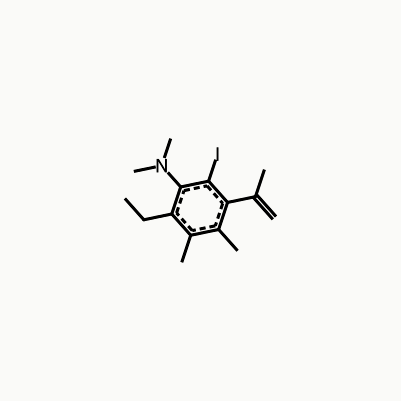 C=C(C)c1c(C)c(C)c(CC)c(N(C)C)c1I